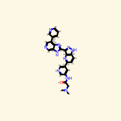 CN(C)CC(=O)Nc1cncc(-c2ccc3[nH]nc(-c4nc5c(-c6cccnc6)cncc5[nH]4)c3n2)c1